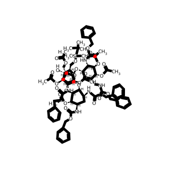 CC(=O)OC[C@H]1O[C@@H](O[C@@H]2[C@@H](OC(C)=O)[C@H](NC(=O)OCc3ccccc3)C[C@H](NC(=O)OCc3ccccc3)[C@H]2O[C@H]2O[C@H](CO[Si](C)(C)C(C)(C)C)[C@@H](O)[C@H](OC(C)=O)[C@H]2NC(=O)OCc2ccccc2)[C@H](OC(C)=O)[C@@H]1O[C@H]1O[C@@H](CNC(=O)OCc2ccccc2)[C@@H](OC(C)=O)[C@H](OC(C)=O)[C@H]1NC(=O)OCc1ccccc1